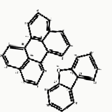 c1cc2cccc3c4cccc5cccc(c(c1)c23)c54.c1ccc2c(c1)oc1ccccc12